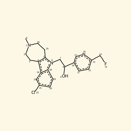 CN1CCc2c(n(CC(O)c3ccc(CF)nc3)c3ccc(Cl)cc23)CC1